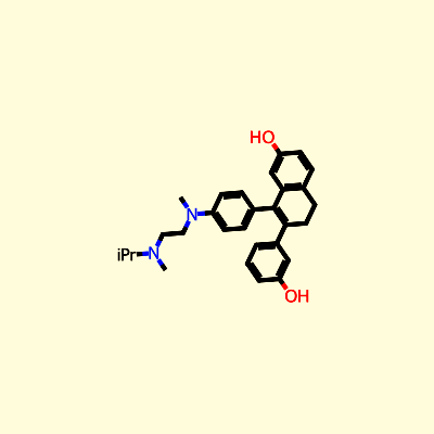 CC(C)N(C)CCN(C)c1ccc(C2=C(c3cccc(O)c3)CCc3ccc(O)cc32)cc1